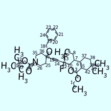 CCOC(=O)C1=C(C(CC)CC(F)(F)C#CC2(OCc3ccccc3)CCN(C(=O)OC(C)(C)C)CC2)CCC(C)(C)C1